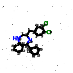 Clc1ccc(CC2CNc3ccccc3C(c3ccccc3)=N2)cc1Cl